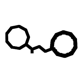 c1ccccc(CCNC2CCCCCCCC2)cccc1